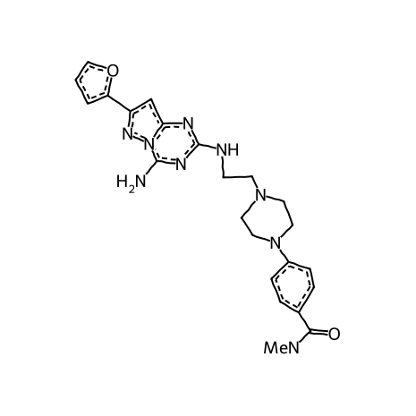 CNC(=O)c1ccc(N2CCN(CCNc3nc(N)n4nc(-c5ccco5)cc4n3)CC2)cc1